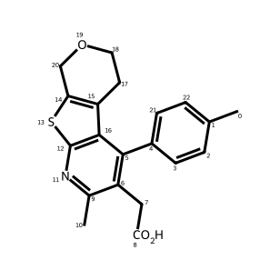 Cc1ccc(-c2c(CC(=O)O)c(C)nc3sc4c(c23)CCOC4)cc1